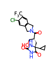 O=C1NC(=O)[C@@](C[C@H](CO)C(=O)N2Cc3cc(Cl)c(C(F)(F)F)cc3C2)(C2CC2)N1